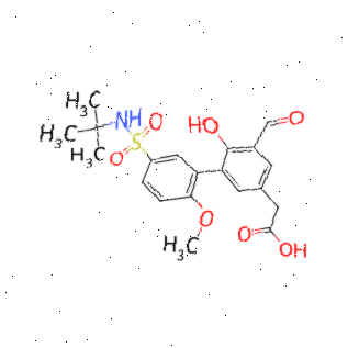 COc1ccc(S(=O)(=O)NC(C)(C)C)cc1-c1cc(CC(=O)O)cc(C=O)c1O